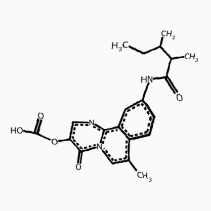 CCC(C)C(C)C(=O)Nc1ccc2c(C)cn3c(=O)c(OC(=O)O)cnc3c2c1